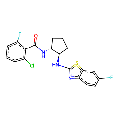 O=C(N[C@@H]1CCC[C@H]1Nc1nc2ccc(F)cc2s1)c1c(F)cccc1Cl